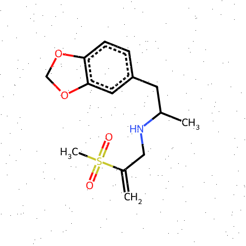 C=C(CNC(C)Cc1ccc2c(c1)OCO2)S(C)(=O)=O